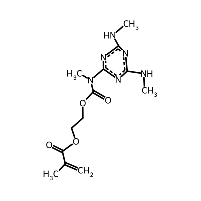 C=C(C)C(=O)OCCOC(=O)N(C)c1nc(NC)nc(NC)n1